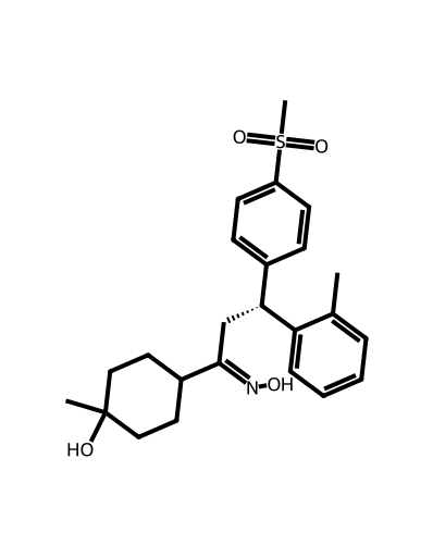 Cc1ccccc1[C@H](C/C(=N\O)C1CCC(C)(O)CC1)c1ccc(S(C)(=O)=O)cc1